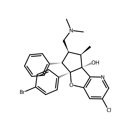 C[C@@H]1[C@H](CN(C)C)[C@@H](c2ccccc2)[C@]2(c3ccc(Br)cc3)Oc3cc(Cl)cnc3[C@]12O